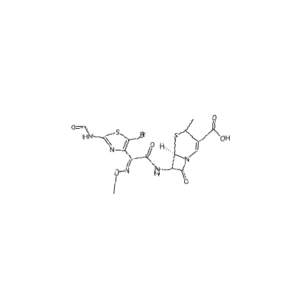 CON=C(C(=O)NC1C(=O)N2C=C(C(=O)O)C(C)S[C@H]12)c1nc(NC=O)sc1Br